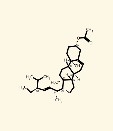 CC[C@H](C=C[C@@H](C)[C@H]1CC[C@H]2[C@@H]3CC=C4C[C@@H](OC(C)=O)CC[C@]4(C)[C@H]3CC[C@]12C)C(C)C